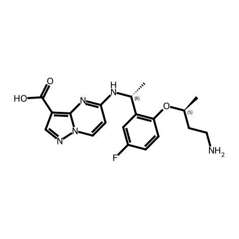 C[C@@H](CCN)Oc1ccc(F)cc1[C@@H](C)Nc1ccn2ncc(C(=O)O)c2n1